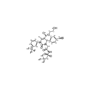 CC1=C(C(=O)OCCO)C(c2ccc(C#N)cc2)N(CC(=O)NS(=O)(=O)CC(F)(F)F)C(=O)N1c1cccc(C(F)(F)F)c1